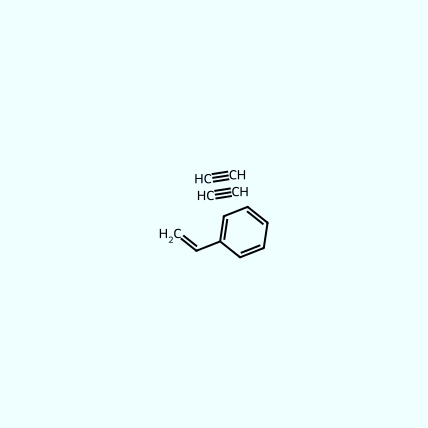 C#C.C#C.C=Cc1ccccc1